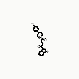 Cn1cc(C(=O)CCC(=O)N2CCC(c3ccc(Cl)cc3)CC2)c2ccccc21